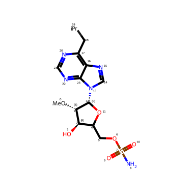 CO[C@H]1[C@H](O)C(COS(N)(=O)=O)O[C@H]1n1cnc2c(CC(C)C)ncnc21